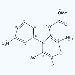 COC(=O)OC1=C(N)OC(C)=C(C(C)=O)C1c1cccc([N+](=O)[O-])c1